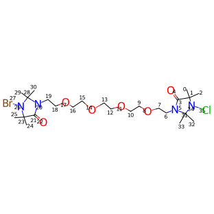 CC1(C)C(=O)N(CCOCCOCCOCCOCCN2C(=O)C(C)(C)N(Br)C2(C)C)C(C)(C)N1Cl